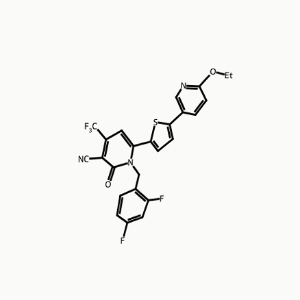 CCOc1ccc(-c2ccc(-c3cc(C(F)(F)F)c(C#N)c(=O)n3Cc3ccc(F)cc3F)s2)cn1